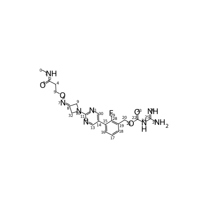 CNC(=O)CCON=C1CN(c2ncc(-c3cccc(COC(=O)NC(=N)N)c3F)cn2)C1